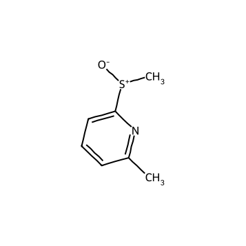 Cc1cccc([S+](C)[O-])n1